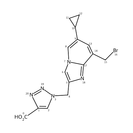 O=C(O)c1cn(Cc2cn3cc(C4CC4)cc(CBr)c3n2)nn1